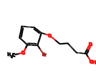 COc1cccc(OCCCC(=O)O)c1Br